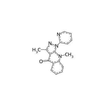 Cc1nn(-c2ccccn2)c2c1c(=O)c1ccccc1n2C